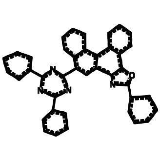 c1ccc(-c2nc(-c3ccccc3)nc(-c3cc4c5nc(-c6ccccc6)oc5c5ccccc5c4c4ccccc34)n2)cc1